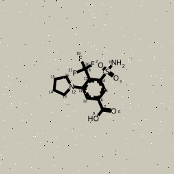 NS(=O)(=O)c1cc(C(=O)O)cc(N2CCCC2)c1C(F)(F)F